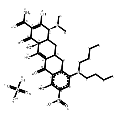 CCCCN(CCCC)c1cc([N+](=O)[O-])c(O)c2c1CC1CC3[C@H](N(C)C)C(O)=C(C(N)=O)C(=O)[C@@]3(O)C(O)=C1C2=O.O=S(=O)(O)O